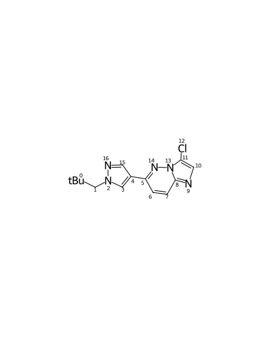 CC(C)(C)Cn1cc(-c2ccc3ncc(Cl)n3n2)cn1